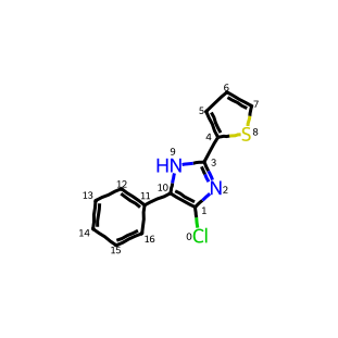 Clc1nc(-c2cccs2)[nH]c1-c1ccccc1